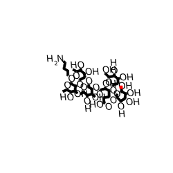 CC1OC(OC2C(C(=O)O)OC(OC3C(OC4C(OC5C(OCCCCN)OC(C)C(O)C5O)OC(C)C(O)C4O)OC(C)C(O)C3O)C(O)C2OC2OC(CO)C(O)C(O)C2O)C(O)C(O)C1O